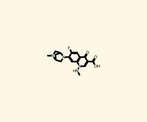 CNn1cc(C(=O)O)c(=O)c2cc(F)c(N3CC4CC3CN4C)cc21